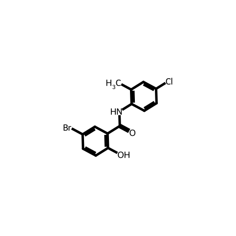 Cc1cc(Cl)ccc1NC(=O)c1cc(Br)ccc1O